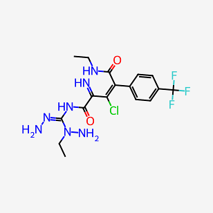 CCNC(=O)/C(=C(/Cl)C(=N)C(=O)N/C(=N/N)N(N)CC)c1ccc(C(F)(F)F)cc1